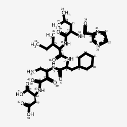 CCC(NC(=O)C(CC1CCCCC1)NC(=O)C(NC(=O)C(CC(C)C)NC(=O)c1cnccn1)C(C)CC)C(=O)C(=O)N[C@@H](CC(=O)O)C(=O)O